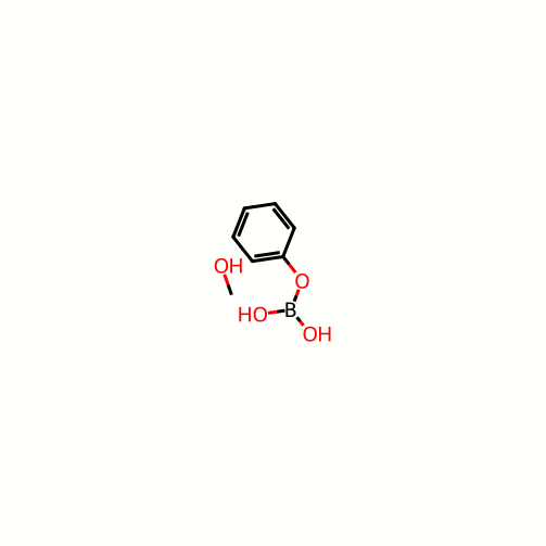 CO.OB(O)Oc1ccccc1